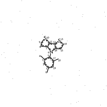 Cc1cc(C)c(-n2c3ccsc3c3sccc32)c(C)c1